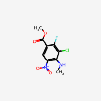 CNc1c([N+](=O)[O-])cc(C(=O)OC)c(F)c1Cl